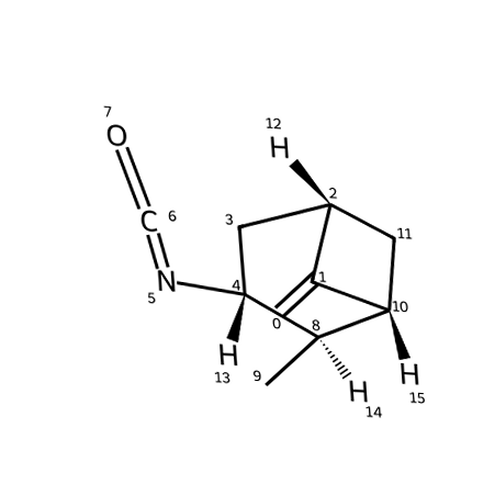 C=C1[C@@H]2C[C@@H](N=C=O)[C@H](C)[C@H]1C2